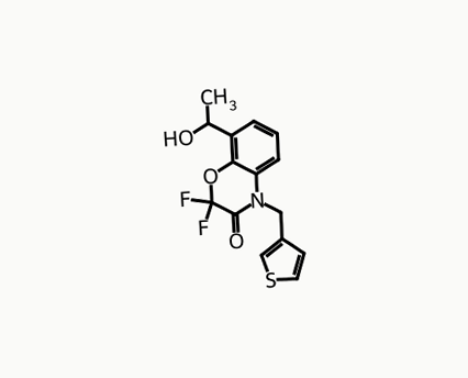 CC(O)c1cccc2c1OC(F)(F)C(=O)N2Cc1ccsc1